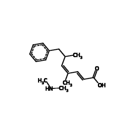 CC(C=CC(=O)O)=CC(C)Cc1ccccc1.CNC